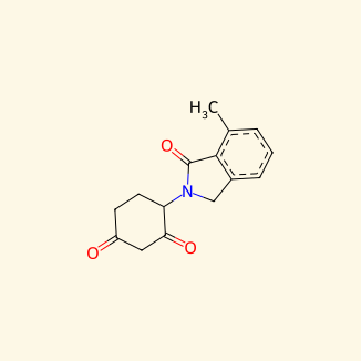 Cc1cccc2c1C(=O)N(C1CCC(=O)CC1=O)C2